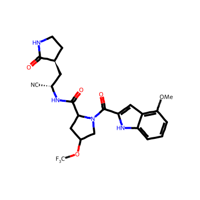 COc1cccc2[nH]c(C(=O)N3CC(OC(F)(F)F)CC3C(=O)N[C@H](C#N)C[C@@H]3CCNC3=O)cc12